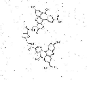 CN(C)c1ccc2c(-c3ccc(C(=O)NCC4=CCC(C(=O)NCc5c6oc7cc(O)ccc7c(-c7ccc(C(=O)O)cc7C(=O)O)c-6ccc5=O)O4)cc3C(=O)O)c3ccc(=N)cc-3oc2c1